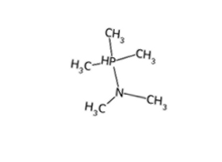 CN(C)[PH](C)(C)C